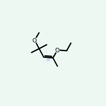 CCO/C(C)=C\C(C)(C)OC